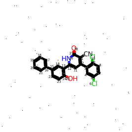 N#Cc1c(-c2cc(Cl)ccc2Cl)cc(-c2cc(-c3ccccc3)ccc2O)[nH]c1=O